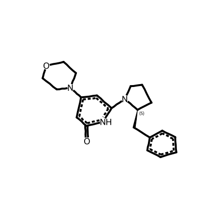 O=c1cc(N2CCOCC2)cc(N2CCC[C@H]2Cc2ccccc2)[nH]1